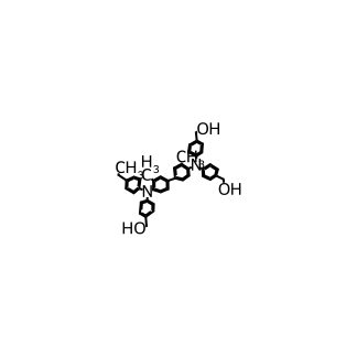 CCc1ccc(N(c2ccc(CO)cc2)c2ccc(-c3ccc(N(c4ccc(CO)cc4)c4ccc(CO)cc4)c(C)c3)cc2C)cc1